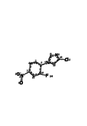 O=[N+]([O-])c1ccc(-n2cnc(Cl)c2)c(F)c1